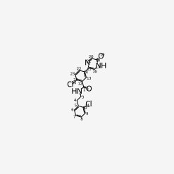 O=C(NCCc1ccccc1Cl)c1cc(-c2c[nH]c(=O)cn2)ccc1Cl